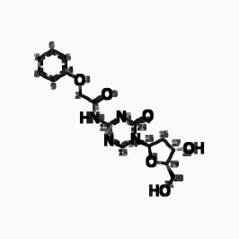 O=C(COc1ccccc1)Nc1ncn([C@H]2C[C@H](O)[C@@H](CO)O2)c(=O)n1